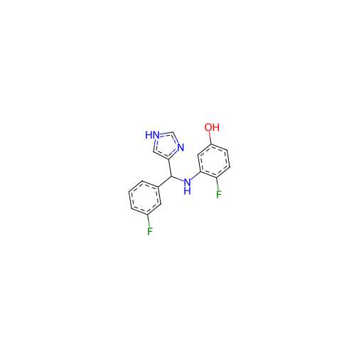 Oc1ccc(F)c(NC(c2cccc(F)c2)c2c[nH]cn2)c1